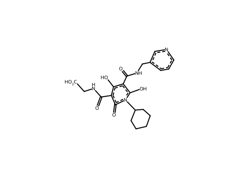 O=C(O)CNC(=O)c1c(O)c(C(=O)NCc2cccnc2)c(O)n(C2CCCCC2)c1=O